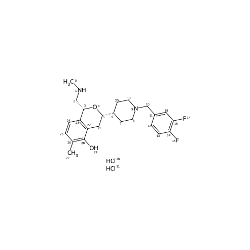 CNC[C@@H]1O[C@H](C2CCN(Cc3ccc(F)c(F)c3)CC2)Cc2c1ccc(C)c2O.Cl.Cl